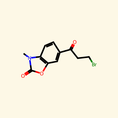 Cn1c(=O)oc2cc(C(=O)CCBr)ccc21